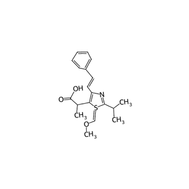 COC=S1C(C(C)C)=NC(C=Cc2ccccc2)=C1C(C)C(=O)O